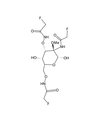 CO[C@@]1(NC(=O)CF)[C@H](O)OC(CONC(=O)CF)[C@H](O)[C@@H]1ONC(=O)CF